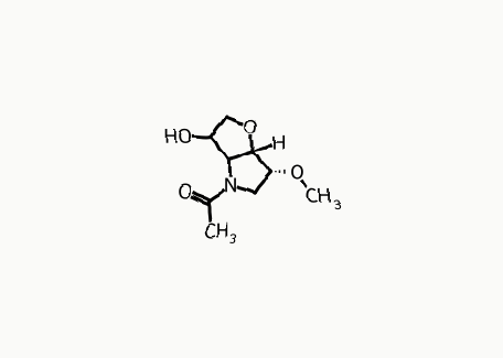 CO[C@@H]1CN(C(C)=O)C2C(O)CO[C@@H]21